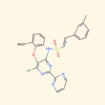 COc1ccccc1Oc1c(Cl)nc(-c2ncccn2)nc1NS(=O)(=O)/C=C/c1cccc(C)c1